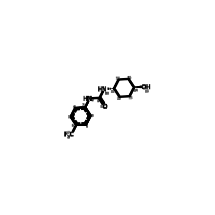 O=C(Nc1ccc(C(F)(F)F)cc1)N[C@H]1CC[C@H](O)CC1